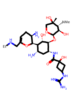 CCNCC1=CC[C@@H](N)[C@@H](C2[C@@H](N)C[C@@H](NC(=O)C3(O)CC(NC(=N)N)C3)[C@H](O[C@H]3OC[C@](C)(O)[C@H](NC)[C@H]3O)[C@H]2O)O1